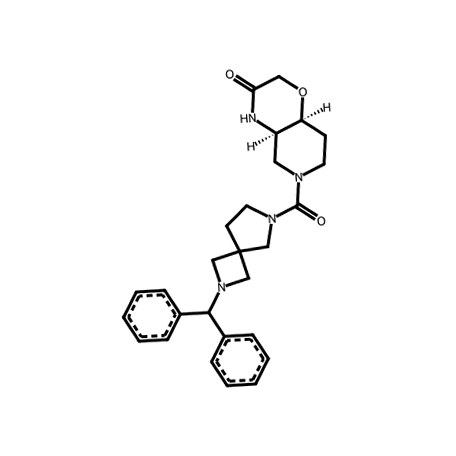 O=C1CO[C@H]2CCN(C(=O)N3CCC4(C3)CN(C(c3ccccc3)c3ccccc3)C4)C[C@H]2N1